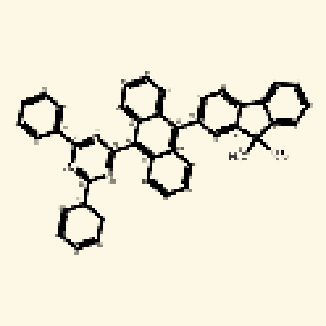 CC1(C)c2ccccc2-c2ccc(-c3c4ccccc4c(-c4nc(-c5ccccc5)nc(C5C=CC=CC5)n4)c4ccccc34)cc21